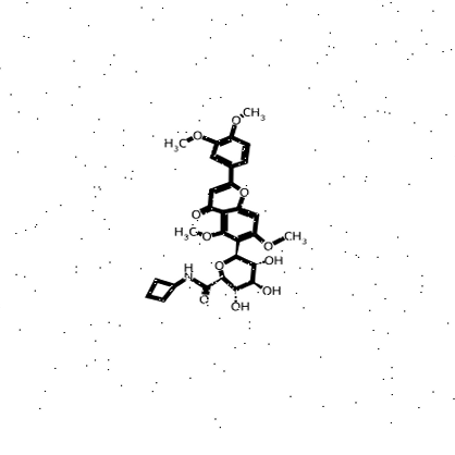 COc1ccc(-c2cc(=O)c3c(OC)c([C@@H]4O[C@H](C(=O)NC5CCC5)[C@@H](O)[C@H](O)[C@H]4O)c(OC)cc3o2)cc1OC